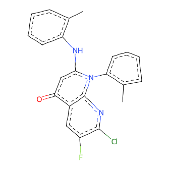 Cc1ccccc1Nc1cc(=O)c2cc(F)c(Cl)nc2n1-c1ccccc1C